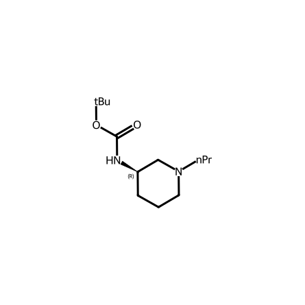 CCCN1CCC[C@@H](NC(=O)OC(C)(C)C)C1